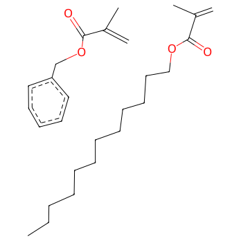 C=C(C)C(=O)OCCCCCCCCCCCC.C=C(C)C(=O)OCc1ccccc1